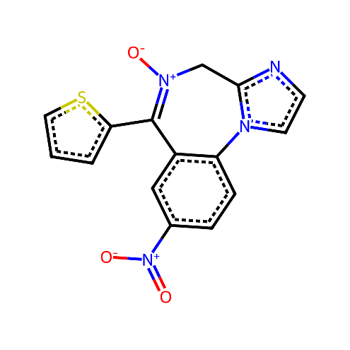 O=[N+]([O-])c1ccc2c(c1)C(c1cccs1)=[N+]([O-])Cc1nccn1-2